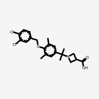 Cc1cc(C(C)(C)N2CC(C(=O)O)C2)cc(C)c1OCc1ccc(Cl)c(Cl)c1